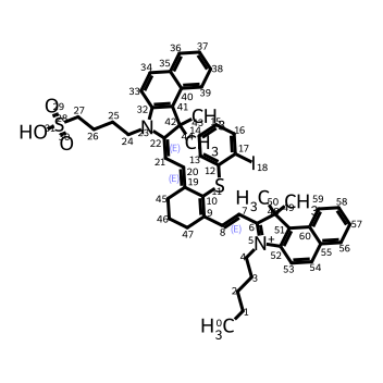 CCCCC[N+]1=C(/C=C/C2=C(Sc3ccccc3I)C(=C/C=C3/N(CCCCS(=O)(=O)O)c4ccc5ccccc5c4C3(C)C)/CCC2)C(C)(C)c2c1ccc1ccccc21